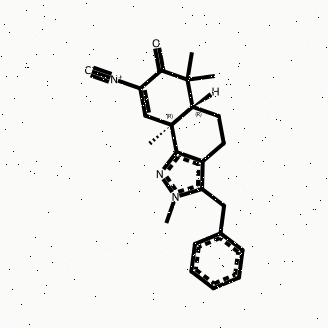 [C-]#[N+]C1=C[C@]2(C)c3nn(C)c(Cc4ccccc4)c3CC[C@H]2C(C)(C)C1=O